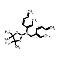 C=C/C=C\C(=C/C)CN(B1OC(C)(C)C(C)(C)O1)C(/C=C\C=C)=C/C